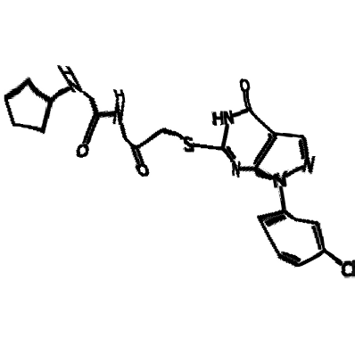 O=C(CSc1nc2c(cnn2-c2cccc(Cl)c2)c(=O)[nH]1)NC(=O)NC1CCCC1